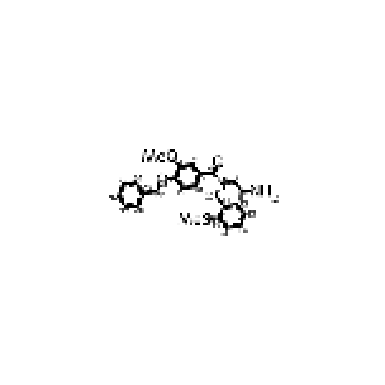 COc1cc(C(=O)N(CCN)Cc2ccccc2SC)ccc1OCc1ccccc1